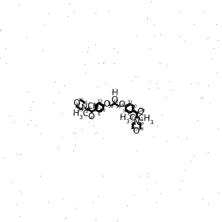 CC(C)(C(=O)c1ccc(OCC(O)COc2ccc(C(=O)C(C)(C)N3CCOCC3)cc2)cc1)N1CCOCC1